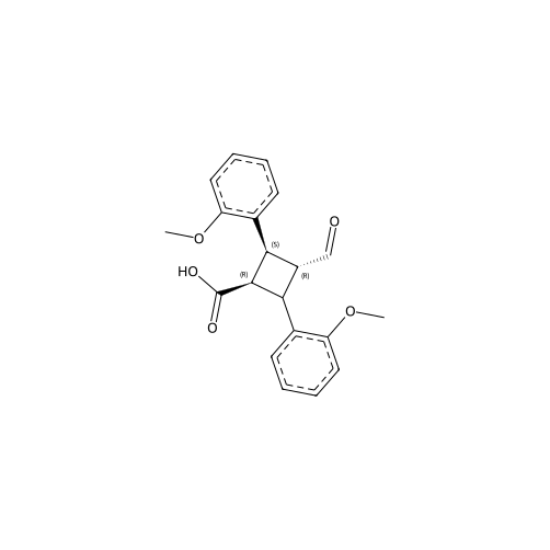 COc1ccccc1C1[C@@H](C=O)[C@H](c2ccccc2OC)[C@@H]1C(=O)O